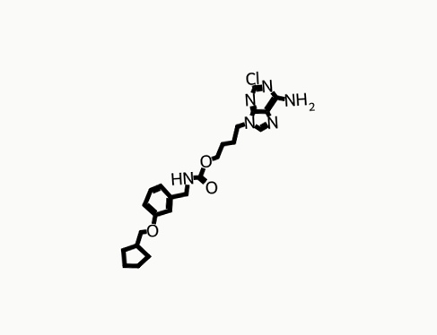 Nc1nc(Cl)nc2c1ncn2CCCCOC(=O)NCc1cccc(OCC2CCCC2)c1